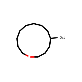 CCCCCCCCC1CCCCCCCCOCCC1